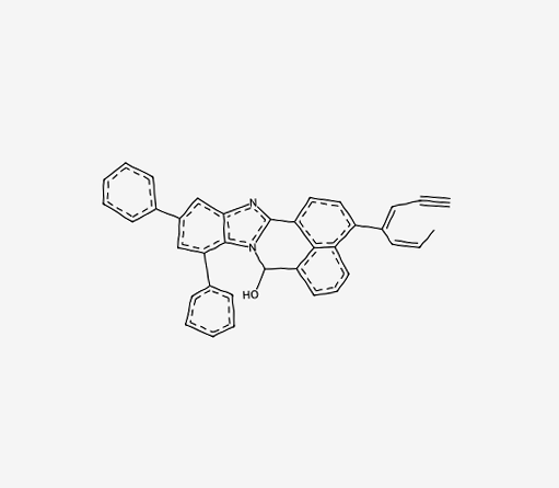 C#C/C=C(\C=C/C)c1ccc2c3c(cccc13)C(O)n1c-2nc2cc(-c3ccccc3)cc(-c3ccccc3)c21